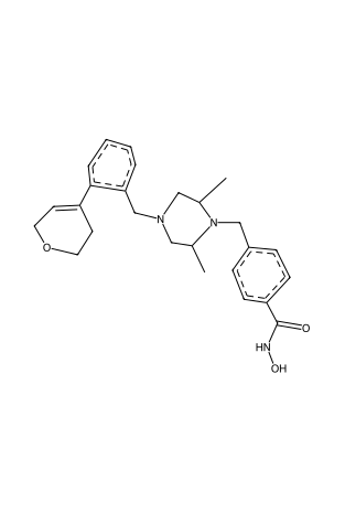 CC1CN(Cc2ccccc2C2=CCOCC2)CC(C)N1Cc1ccc(C(=O)NO)cc1